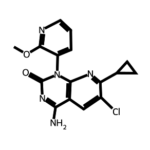 COc1ncccc1-n1c(=O)nc(N)c2cc(Cl)c(C3CC3)nc21